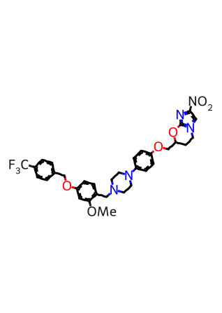 COc1cc(OCc2ccc(C(F)(F)F)cc2)ccc1CN1CCN(c2ccc(OCC3CCn4cc([N+](=O)[O-])nc4O3)cc2)CC1